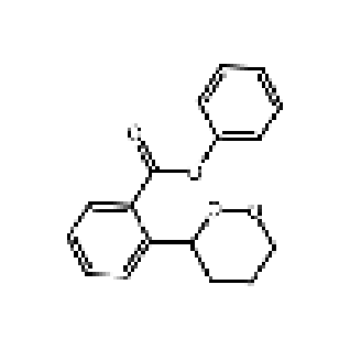 O=C(Oc1ccccc1)c1ccccc1C1CCCOO1